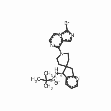 CC(C)(C)[S@@+]([O-])N[C@@H]1c2cccnc2CC12CCN(c1nccn3c(Br)ncc13)CC2